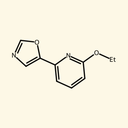 CCOc1cccc(-c2cnco2)n1